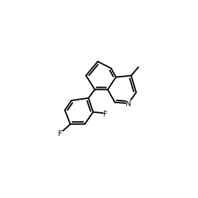 Cc1cncc2c(-c3ccc(F)cc3F)cccc12